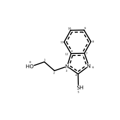 OCCn1c(S)nc2ccccc21